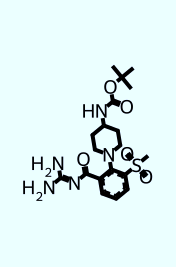 CC(C)(C)OC(=O)NC1CCN(c2c(C(=O)N=C(N)N)cccc2S(C)(=O)=O)CC1